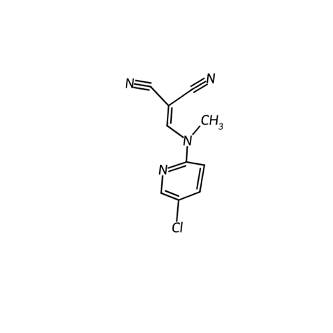 CN(C=C(C#N)C#N)c1ccc(Cl)cn1